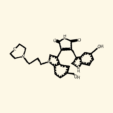 O=C1NC(=O)C(c2cn(CCCN3CCCCC3)c3ccc(O)cc23)=C1c1c[nH]c2ccc(O)cc12